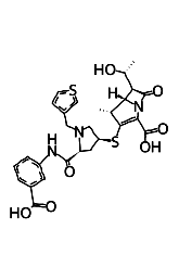 C[C@@H](O)[C@H]1C(=O)N2C(C(=O)O)=C(S[C@H]3C[C@@H](C(=O)Nc4cccc(C(=O)O)c4)N(Cc4ccsc4)C3)[C@H](C)[C@H]12